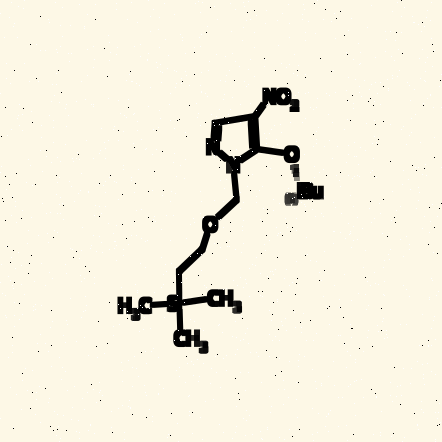 CC[C@@H](C)Oc1c([N+](=O)[O-])cnn1COCC[Si](C)(C)C